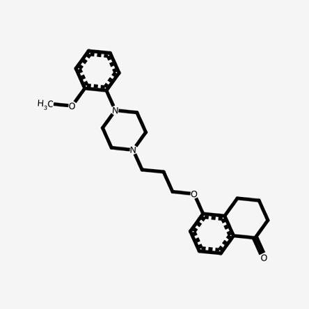 COc1ccccc1N1CCN(CCCOc2cccc3c2CCCC3=O)CC1